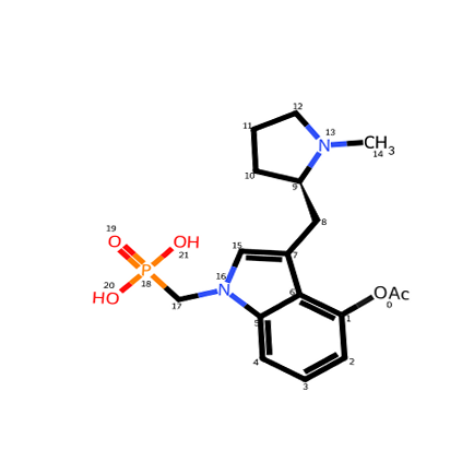 CC(=O)Oc1cccc2c1c(C[C@H]1CCCN1C)cn2CP(=O)(O)O